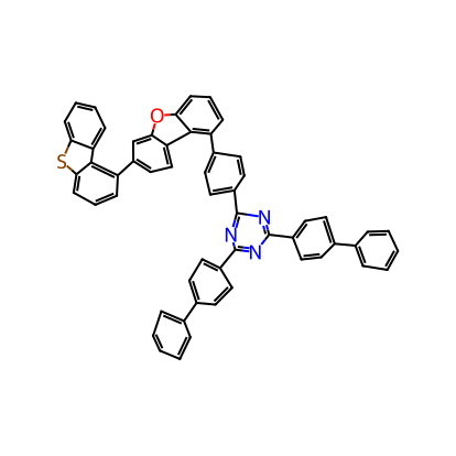 c1ccc(-c2ccc(-c3nc(-c4ccc(-c5ccccc5)cc4)nc(-c4ccc(-c5cccc6oc7cc(-c8cccc9sc%10ccccc%10c89)ccc7c56)cc4)n3)cc2)cc1